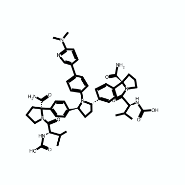 CC(C)[C@H](NC(=O)O)C(=O)N1CCC[C@@]1(C(N)=O)c1ccc([C@@H]2CC[C@@H](c3ccc([C@]4(C(N)=O)CCCN4C(=O)[C@@H](NC(=O)O)C(C)C)cc3)N2c2ccc(-c3ccc(N(C)C)nc3)cc2)cc1